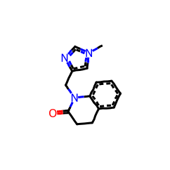 Cn1cnc(CN2C(=O)CCc3ccccc32)c1